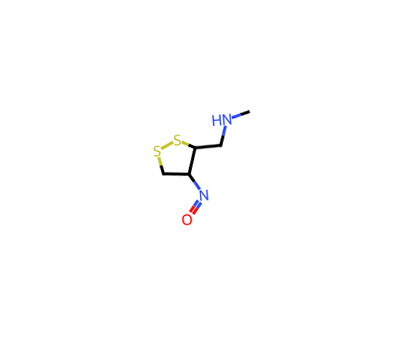 CNCC1SSCC1N=O